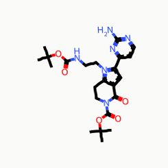 CC(C)(C)OC(=O)NCCn1c(-c2ccnc(N)n2)cc2c1CCN(C(=O)OC(C)(C)C)C2=O